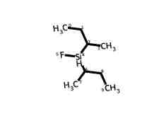 CCC(C)[SiH](F)C(C)CC